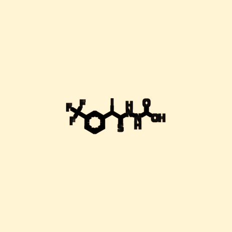 O=C(O)NNC(=S)C(I)c1cccc(C(F)(F)F)c1